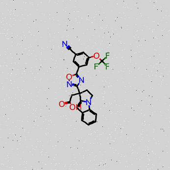 N#Cc1cc(OC(F)(F)F)cc(-c2nc(C3(CC(=O)O)CCn4c3cc3ccccc34)no2)c1